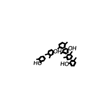 Cc1ccc(C)cc1.Cc1ccc(O)cc1.Cc1ccc(O)cc1C.Cc1cccc(C)c1.Cc1cccc(O)c1.Cc1ccccc1O